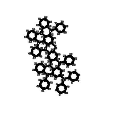 c1ccc(N(c2ccccc2)c2cc3c4c(c2)N(c2ccccc2)c2cc5c(cc2B4c2ccccc2N3c2ccccc2)B2c3ccccc3N3c4ccccc4B4c6ccccc6N(c6ccccc6)c6cc(c2c3c64)S5)cc1